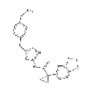 COc1ccc(Cc2cnc(NC(=O)C3(c4ccc5c(c4)OCO5)CC3)s2)cc1